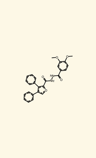 COc1ccc(C(=O)NNC(=O)c2occ(-c3ccccc3)c2-c2ccccc2)cc1OC